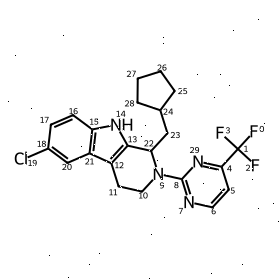 FC(F)(F)c1ccnc(N2CCc3c([nH]c4ccc(Cl)cc34)C2CC2CCCC2)n1